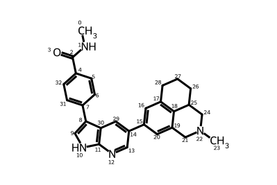 CNC(=O)c1ccc(-c2c[nH]c3ncc(-c4cc5c6c(c4)CN(C)CC6CCC5)cc23)cc1